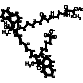 CC(=O)OC(C)C(=O)NCCNCC(=O)CCCCCN1\C(=C/C=C/C=C/C=C/C2=[N+](CCCCS(=O)(=O)[O-])c3ccc4ccccc4c3C2(C)C)C(C)(C)c2c1ccc1ccccc21